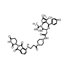 CC(=N)N1C(=N)[C@H](CC(=O)NN2CCN(C(=O)CCNc3cccc4c3C(=O)N(C3CCC(=O)NC3=O)C4=O)CC2)N=C(c2ccc(Cl)cc2)c2c1sc(C)c2C